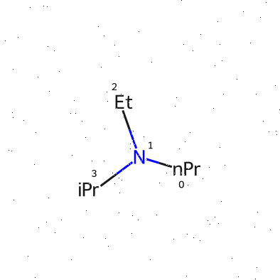 [CH2]CCN(CC)C(C)C